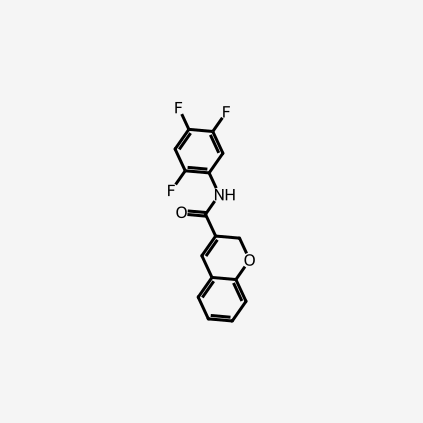 O=C(Nc1cc(F)c(F)cc1F)C1=Cc2ccccc2OC1